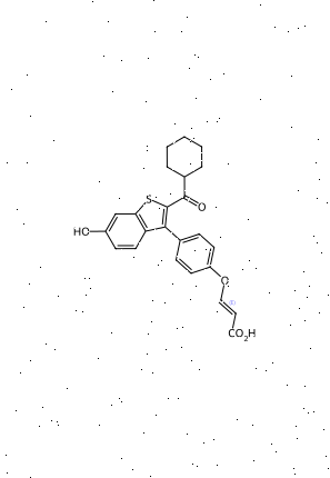 O=C(O)/C=C/Oc1ccc(-c2c(C(=O)C3CCCCC3)sc3cc(O)ccc23)cc1